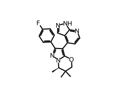 C[C@H]1n2nc(-c3ccc(F)cc3)c(-c3ccnc4[nH]ncc34)c2OCC1(C)C